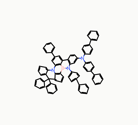 c1ccc(-c2ccc(N3B4c5cccc6c5N(c5ccccc5C6(c5ccccc5)c5ccccc5)c5cc(-c6ccccc6)cc(c54)-c4ccc(N(c5ccc(-c6ccccc6)cc5)c5ccc(-c6ccccc6)cc5)cc43)cc2)cc1